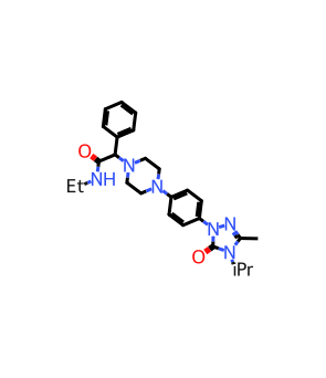 CCNC(=O)C(c1ccccc1)N1CCN(c2ccc(-n3nc(C)n(C(C)C)c3=O)cc2)CC1